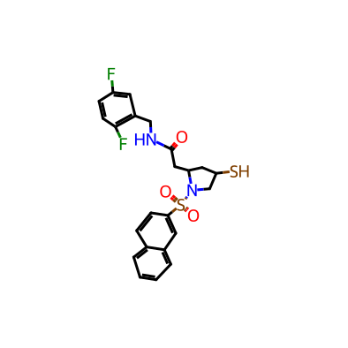 O=C(CC1CC(S)CN1S(=O)(=O)c1ccc2ccccc2c1)NCc1cc(F)ccc1F